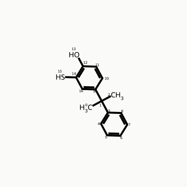 CC(C)(c1ccccc1)c1ccc(O)c(S)c1